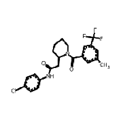 Cc1cc(C(=O)N2CCCCC2CC(=O)Nc2ccc(Cl)cc2)cc(C(F)(F)F)c1